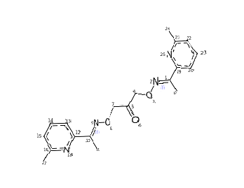 C/C(=N\OCC(=O)CO/N=C(\C)c1cccc(C)n1)c1cccc(C)n1